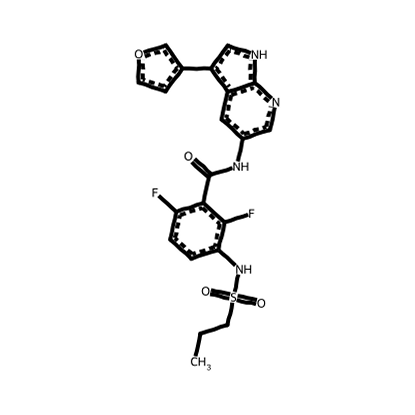 CCCS(=O)(=O)Nc1ccc(F)c(C(=O)Nc2cnc3[nH]cc(-c4ccoc4)c3c2)c1F